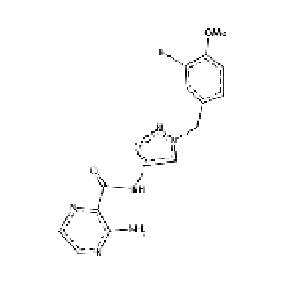 COc1ccc(Cn2cc(NC(=O)c3nccnc3N)cn2)cc1F